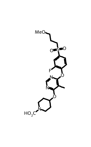 COCCCS(=O)(=O)c1ccc(Oc2ncnc(OC3CCN(C(=O)O)CC3)c2C)c(F)c1